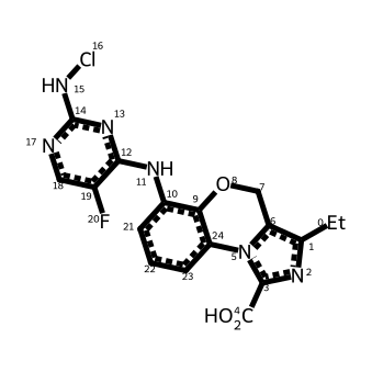 CCc1nc(C(=O)O)n2c1COc1c(Nc3nc(NCl)ncc3F)cccc1-2